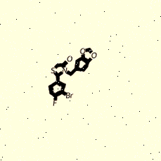 O=C1CSC(c2ccc(F)c(Br)c2)N1Cc1ccc2c(c1)OCO2